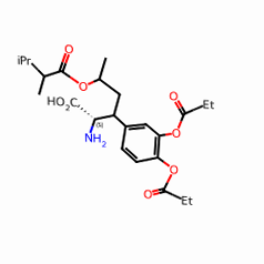 CCC(=O)Oc1ccc(C(CC(C)OC(=O)C(C)C(C)C)[C@H](N)C(=O)O)cc1OC(=O)CC